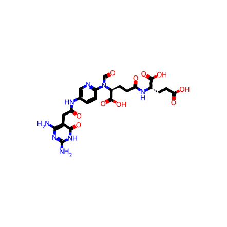 Nc1nc(N)c(CC(=O)Nc2ccc(N(C=O)[C@@H](CCC(=O)N[C@@H](CCC(=O)O)C(=O)O)C(=O)O)nc2)c(=O)[nH]1